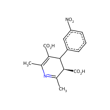 CC1=NC(C)=C(C(=O)O)C(c2cccc([N+](=O)[O-])c2)[C@H]1C(=O)O